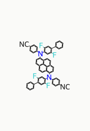 [C-]#[N+]c1ccc(N(c2cc(F)c(-c3ccccc3)cc2F)c2ccc3ccc4c(N(c5ccc(C#N)cc5)c5cc(F)c(-c6ccccc6)cc5F)ccc5ccc2c3c54)cc1